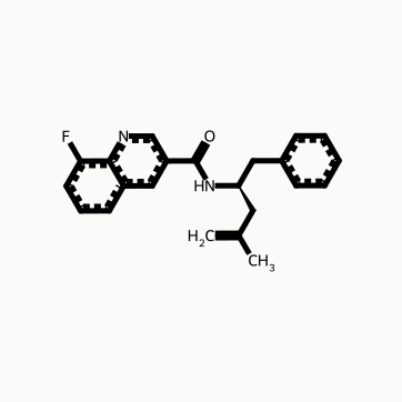 C=C(C)C[C@H](Cc1ccccc1)NC(=O)c1cnc2c(F)cccc2c1